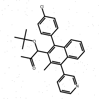 CC(=O)C(OC(C)(C)C)c1c(C)c(-c2cccnc2)c2ccccc2c1-c1ccc(Cl)cc1